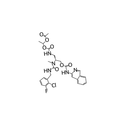 CC(=O)OC(C)OC(=O)NC[C@@H](COC(=O)Nc1cc2ccccc2cn1)N(C)C(=O)NCc1cccc(F)c1Cl